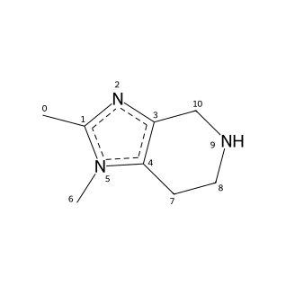 Cc1nc2c(n1C)CCNC2